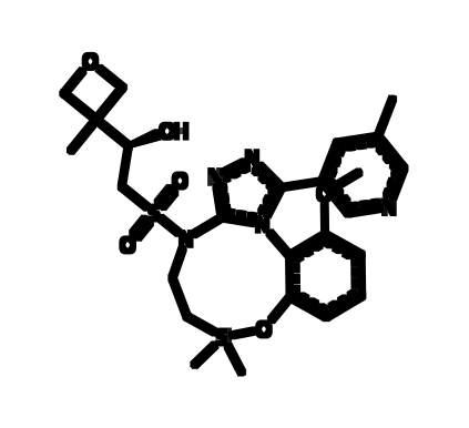 COc1cccc2c1-n1c(-c3cncc(C)c3)nnc1N(S(=O)(=O)C[C@H](O)C1(C)COC1)CC[Si](C)(C)O2